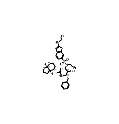 CC(C)CNc1nc2ccc(S(=O)(=O)N(CC(C)C)C[C@@H](O)[C@H](Cc3ccccc3)NC(=O)O[C@H]3CCO[C@H]4OCC[C@H]43)cc2s1